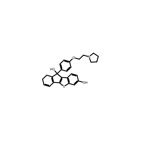 Oc1ccc2c3c(sc2c1)C1=C(CCC=C1)C3(O)c1ccc(OCCN2CCCC2)cc1